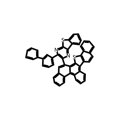 c1ccc(-c2cccc(-c3nc4sc5ccccc5c4nc3-c3cc4ccccc4c4c5ccccc5c5c6ccc7ccccc7c6sc5c34)c2)cc1